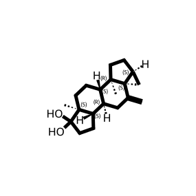 C=C1C[C@H]2[C@@H]3CCC(O)(O)[C@@]3(C)CC[C@@H]2[C@@]2(C)CC[C@H]3C[C@@]132